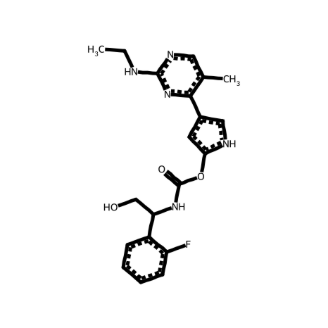 CCNc1ncc(C)c(-c2c[nH]c(OC(=O)NC(CO)c3ccccc3F)c2)n1